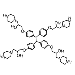 OC(COc1ccc(C(c2ccc(OCC(O)CN3CCNCC3)cc2)C(c2ccc(OCC(O)CN3CCNCC3)cc2)c2ccc(OCC(O)CN3CCNCC3)cc2)cc1)CN1CCNCC1